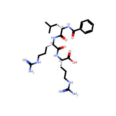 CC(C)C[C@H](NC(=O)c1ccccc1)C(=O)N[C@@H](CCCNC(=N)N)C(=O)N[C@@H](CCCNC(=N)N)C(=O)O